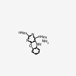 CCCCCCc1nc(CCCCCC)c2c(n1)Oc1ccccc1N2.N